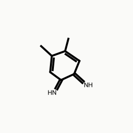 CC1=CC(=N)C(=N)C=C1C